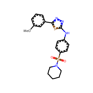 COc1cccc(-c2nnc(Nc3ccc(S(=O)(=O)N4CCCCC4)cc3)s2)c1